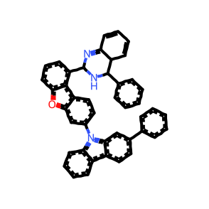 C1=CC2=NC(c3cccc4oc5cc(-n6c7ccccc7c7ccc(-c8ccccc8)cc76)ccc5c34)NC(c3ccccc3)C2C=C1